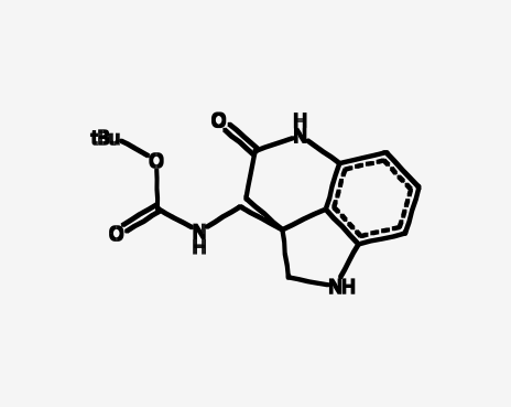 CC(C)(C)OC(=O)NCC12CNc3cccc(c31)NC(=O)C2